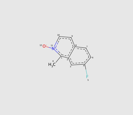 Cc1c2cc(F)ccc2cc[n+]1[O-]